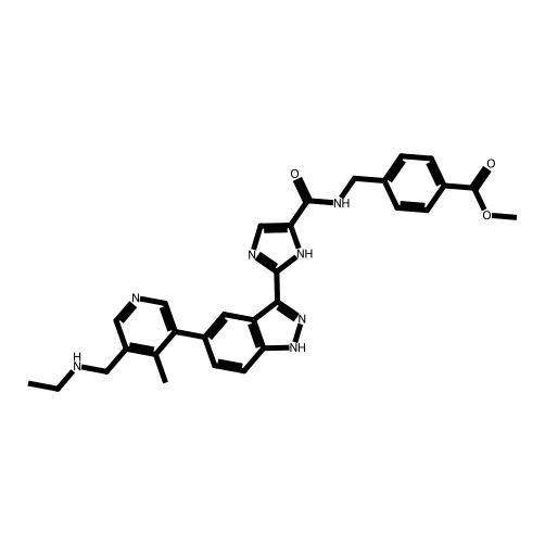 CCNCc1cncc(-c2ccc3[nH]nc(-c4ncc(C(=O)NCc5ccc(C(=O)OC)cc5)[nH]4)c3c2)c1C